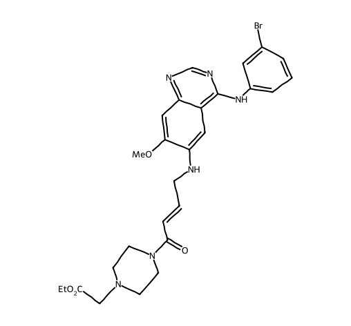 CCOC(=O)CN1CCN(C(=O)C=CCNc2cc3c(Nc4cccc(Br)c4)ncnc3cc2OC)CC1